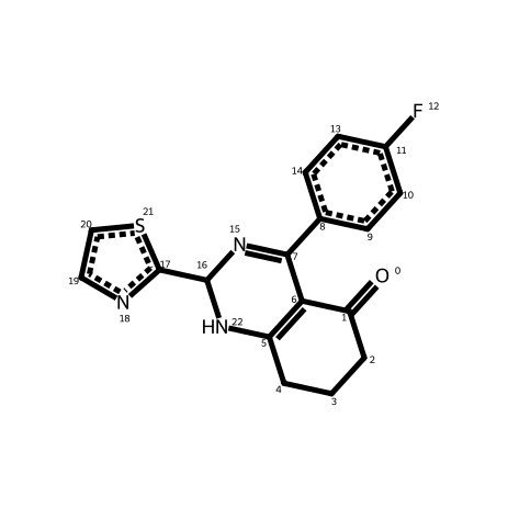 O=C1CCCC2=C1C(c1ccc(F)cc1)=NC(c1nccs1)N2